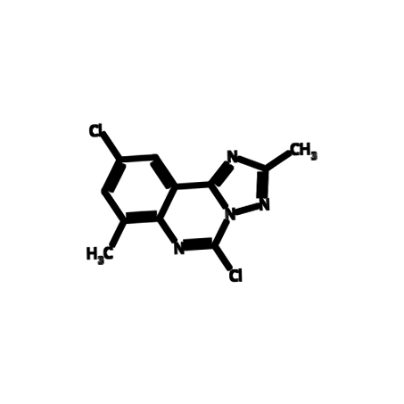 Cc1nc2c3cc(Cl)cc(C)c3nc(Cl)n2n1